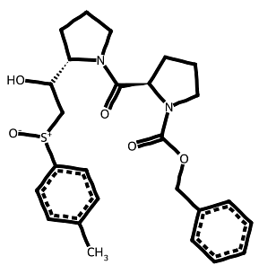 Cc1ccc([S+]([O-])CC(O)[C@@H]2CCCN2C(=O)[C@H]2CCCN2C(=O)OCc2ccccc2)cc1